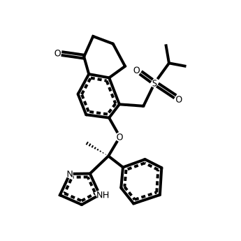 CC(C)S(=O)(=O)Cc1c(O[C@@](C)(c2ccccc2)c2ncc[nH]2)ccc2c1CCCC2=O